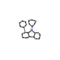 c1ccc(-c2cccc3c4ccccc4n(-c4ccccc4)c23)cc1